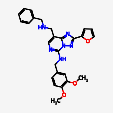 COc1ccc(CNc2ncc(CNCc3ccccc3)c3nc(-c4ccco4)nn23)cc1OC